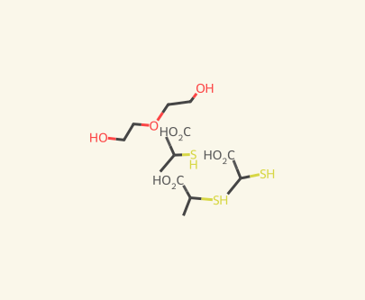 CC(S)C(=O)O.CC(S)C(=O)O.CC(S)C(=O)O.OCCOCCO